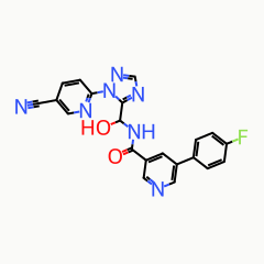 N#Cc1ccc(-n2ncnc2C(O)NC(=O)c2cncc(-c3ccc(F)cc3)c2)nc1